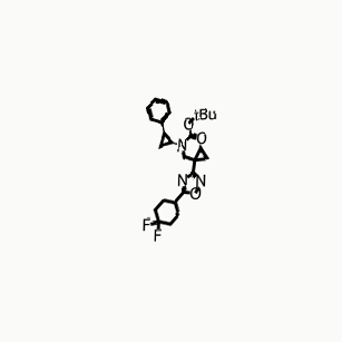 CC(C)(C)OC(=O)N(CC1(c2noc(C3CCC(F)(F)CC3)n2)CC1)[C@@H]1C[C@H]1c1ccccc1